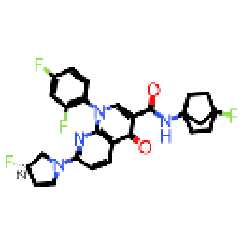 O=C(NC12CCC(F)(CC1)C2)c1cn(-c2ccc(F)cc2F)c2nc(N3CC[C@H](F)C3)ccc2c1=O